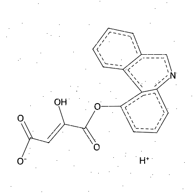 O=C([O-])/C=C(\O)C(=O)Oc1cccc2ncc3ccccc3c12.[H+]